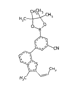 C/C=C\c1sc2c(-c3cc(C#N)cc(B4OC(C)(C)C(C)(C)O4)c3)cccc2c1C